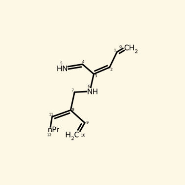 C=C/C=C(\C=N)NC/C(C=C)=C/CCC